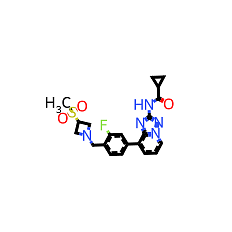 CS(=O)(=O)C1CN(Cc2ccc(-c3cccn4nc(NC(=O)C5CC5)nc34)cc2F)C1